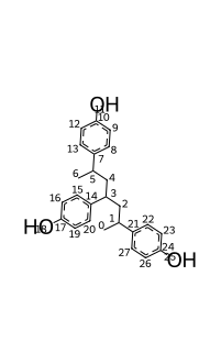 CC(CC(CC(C)c1ccc(O)cc1)c1ccc(O)cc1)c1ccc(O)cc1